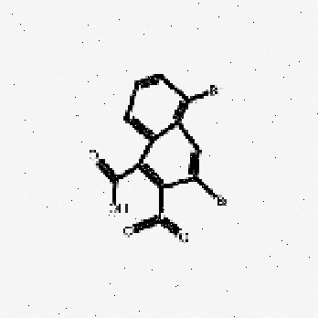 O=C(O)c1c(I(=O)=O)c(Br)cc2c(Br)cccc12